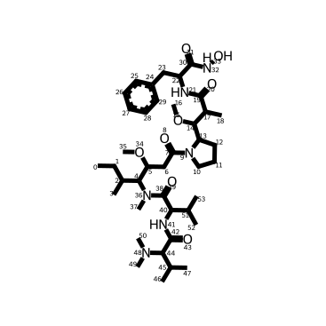 CCC(C)C(C(CC(=O)N1CCCC1C(OC)C(C)C(=O)NC(Cc1ccccc1)C(=O)NO)OC)N(C)C(=O)C(NC(=O)C(C(C)C)N(C)C)C(C)C